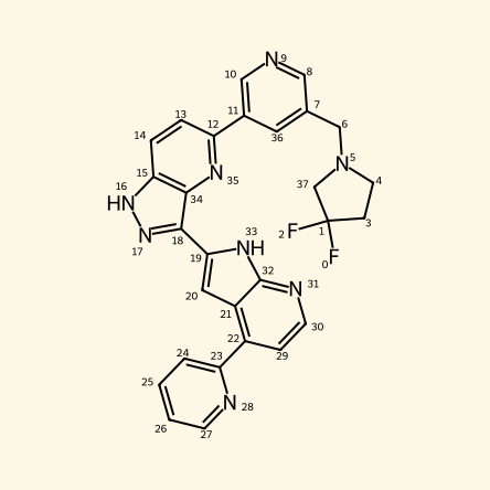 FC1(F)CCN(Cc2cncc(-c3ccc4[nH]nc(-c5cc6c(-c7ccccn7)ccnc6[nH]5)c4n3)c2)C1